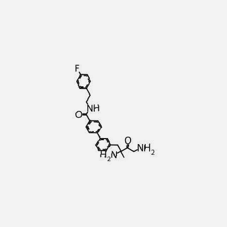 CC(N)(Cc1cccc(-c2ccc(C(=O)NCCc3ccc(F)cc3)cc2)c1)C(=O)CN